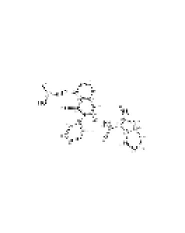 C[C@H](O)C#Cc1cccc2nc([C@@H](C)NC(=O)c3c(N)nn4cccnc34)n(-c3ccccc3)c(=O)c12